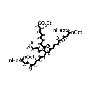 CCCCCCCCC(CCCCCCC)CCOC(=O)CCCCCC(CCCCCC(=O)OCC(CCCCCC)CCCCCCCC)N(CCCN(C)C)C(=O)CCCCCCCC(=O)OCC